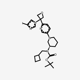 CC(C)(C)OC(=O)N(CC1CCC1)[C@@H]1CCCN(c2ccc(C3(n4cnc(I)c4)COC3)nc2)C1